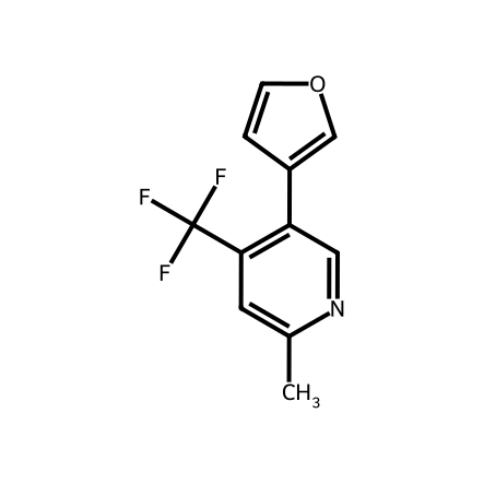 Cc1cc(C(F)(F)F)c(-c2ccoc2)cn1